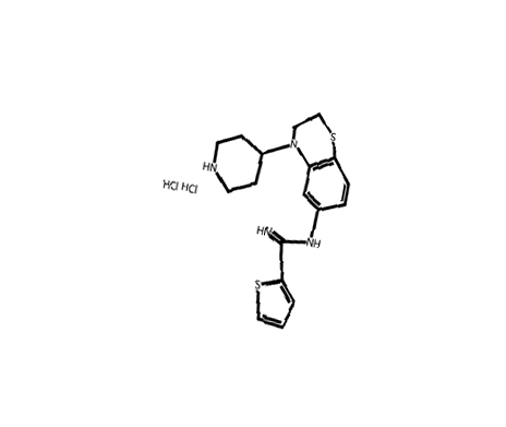 Cl.Cl.N=C(Nc1ccc2c(c1)N(C1CCNCC1)CCS2)c1cccs1